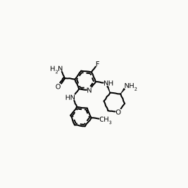 Cc1cccc(Nc2nc(N[C@@H]3CCOC[C@@H]3N)c(F)cc2C(N)=O)c1